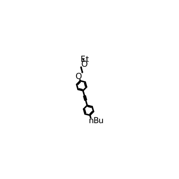 CCCCc1ccc(C#Cc2ccc(OCCOCC)cc2)cc1